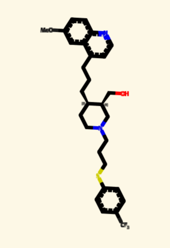 COc1ccc2nccc(CCC[C@@H]3CCN(CCCSc4ccc(C(F)(F)F)cc4)C[C@@H]3CO)c2c1